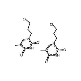 Cc1cn(CCCCl)c(=O)[nH]c1=O.Cc1cn(CCCCl)c(=O)[nH]c1=O